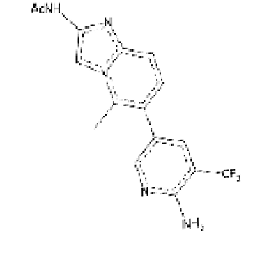 CC(=O)Nc1cn2c(C)c(-c3cnc(N)c(C(F)(F)F)c3)ccc2n1